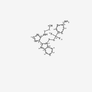 N#CCCNc1nonc1-c1nc2ccccc2n1CCC(F)(F)c1ccc(N)cc1